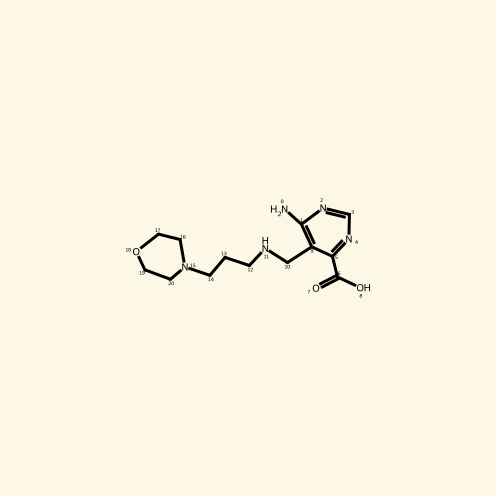 Nc1ncnc(C(=O)O)c1CNCCCN1CCOCC1